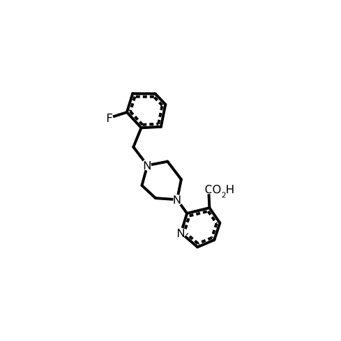 O=C(O)c1cccnc1N1CCN(Cc2ccccc2F)CC1